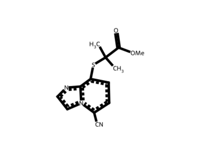 COC(=O)C(C)(C)Sc1ccc(C#N)n2ccnc12